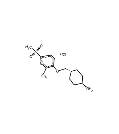 Cc1nc(S(C)(=O)=O)ccc1OC[C@H]1CC[C@H](N)CC1.Cl